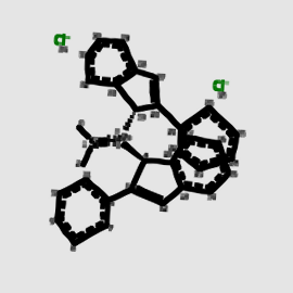 C[Si](C)=[Hf+2]([C@@H]1C(c2ccccc2)=Cc2ccccc21)[C@H]1C(c2ccccc2)=Cc2ccccc21.[Cl-].[Cl-]